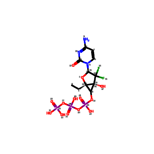 CC[C@]12O[C@@H](n3ccc(N)nc3=O)C(F)(F)[C@@]1(O)C2OP(=O)(O)OP(=O)(O)OP(=O)(O)O